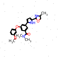 COc1cccc(Oc2cc(C(=O)N(C)C)cc(-c3ccc(C4=NC(C)CO4)[nH]3)c2)c1